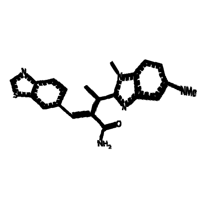 CNc1ccc2c(c1)nc(C(C)/C(=C\c1ccc3ncsc3c1)C(N)=O)n2C